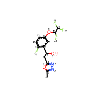 Cc1nnc(CC(O)c2cc(OC(F)C(F)F)ccc2F)o1